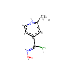 ON=C(Cl)c1ccnc(C(F)(F)F)c1